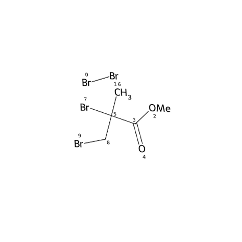 BrBr.COC(=O)C(C)(Br)CBr